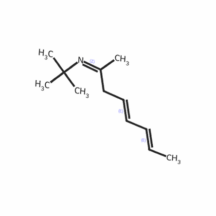 C/C=C/C=C/C/C(C)=N\C(C)(C)C